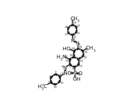 Cc1ccc(/N=N/c2c(S(=O)(=O)O)cc3cc(C)c(/N=N/c4ccc(C)cc4)c(O)c3c2N)cc1